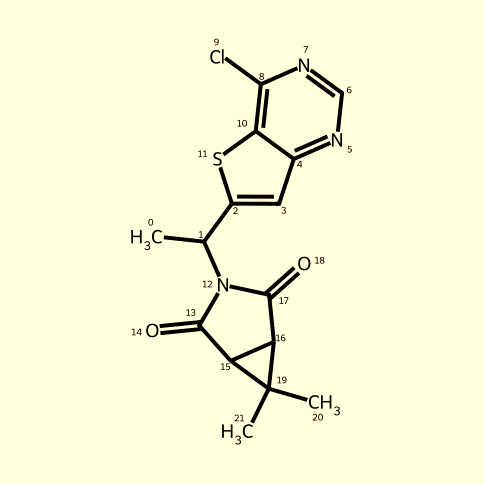 CC(c1cc2ncnc(Cl)c2s1)N1C(=O)C2C(C1=O)C2(C)C